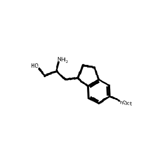 CCCCCCCCc1ccc2c(c1)CCC2CC(N)CO